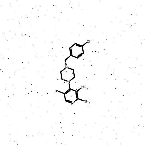 Nc1ncc(Br)c(N2CCN(Cc3ccc(Cl)cc3)CC2)c1[N+](=O)[O-]